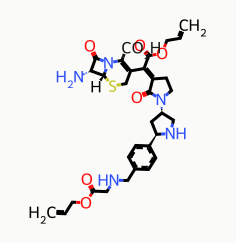 C=CCOC(=O)CNCc1ccc([C@H]2C[C@H](N3CC/C(=C(\C(=O)OCC=C)C4=C(C(=O)O)N5C(=O)[C@@H](N)[C@H]5SC4)C3=O)CN2)cc1